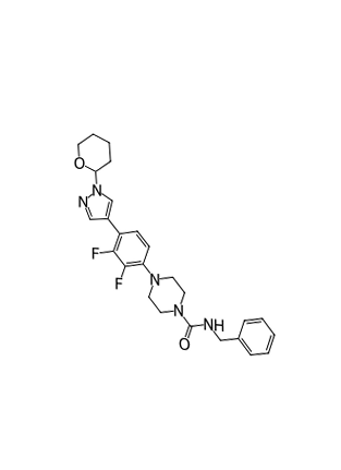 O=C(NCc1ccccc1)N1CCN(c2ccc(-c3cnn(C4CCCCO4)c3)c(F)c2F)CC1